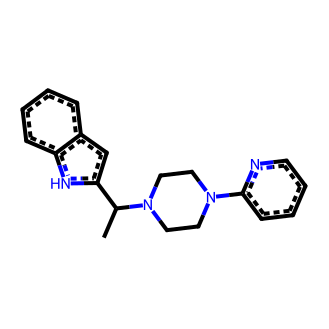 CC(c1cc2ccccc2[nH]1)N1CCN(c2ccccn2)CC1